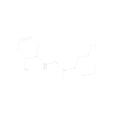 Cc1ccccc1NNC(=O)C1CCCC(C)C1